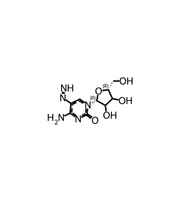 N=Nc1cn([C@@H]2O[C@H](CO)C(O)C2O)c(=O)nc1N